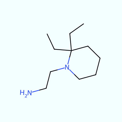 CCC1(CC)CCCCN1CCN